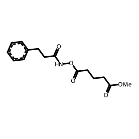 COC(=O)CCCC(=O)ONC(=O)CCc1ccccc1